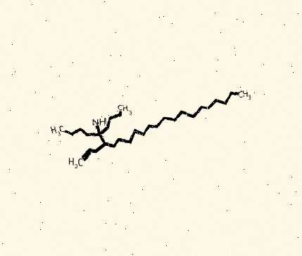 C=CCC(CCCCCCCCCCCCCCCCC)C(N)(CCCC)CCCC